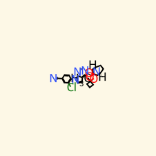 CC1(OC(=O)N2[C@H]3CC[C@H]2CC(Oc2ncnc4c2ccn4-c2ccc(C#N)cc2Cl)C3)CCC1